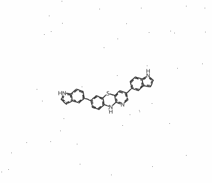 c1cc2cc(-c3ccc4c(c3)Sc3cc(-c5ccc6[nH]ccc6c5)cnc3N4)ccc2[nH]1